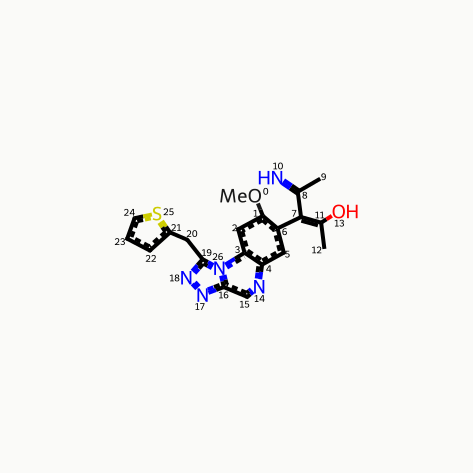 COc1cc2c(cc1/C(C(C)=N)=C(\C)O)ncc1nnc(Cc3cccs3)n12